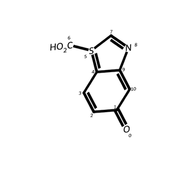 O=C1C=CC2=S(C(=O)O)C=NC2=C1